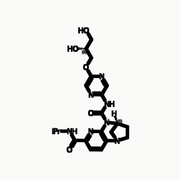 CC(C)NC(=O)c1ccc2c(n1)N(C(=O)Nc1cnc(OC[C@H](O)CO)cn1)[C@H]1CCN2C1